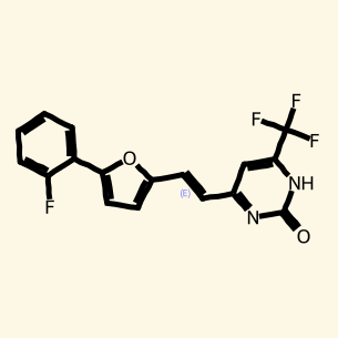 O=c1nc(/C=C/c2ccc(-c3ccccc3F)o2)cc(C(F)(F)F)[nH]1